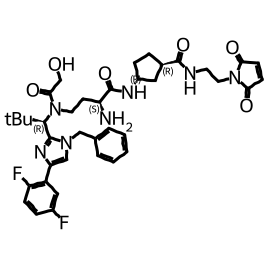 CC(C)(C)[C@H](c1nc(-c2cc(F)ccc2F)cn1Cc1ccccc1)N(CC[C@H](N)C(=O)N[C@@H]1CC[C@@H](C(=O)NCCN2C(=O)C=CC2=O)C1)C(=O)CO